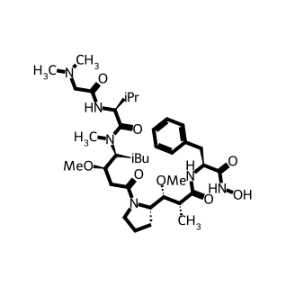 CC[C@H](C)[C@@H]([C@@H](CC(=O)N1CCC[C@H]1[C@H](OC)[C@@H](C)C(=O)N[C@@H](Cc1ccccc1)C(=O)NO)OC)N(C)C(=O)[C@@H](NC(=O)CN(C)C)C(C)C